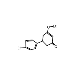 CCOC1=CC(=O)CC(c2ccc(Cl)cc2)C1